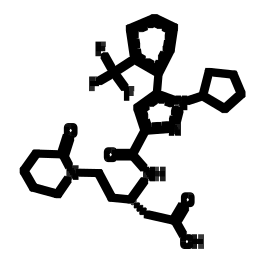 O=C(O)C[C@H](CCN1CCCCC1=O)NC(=O)c1cc(-c2ccccc2C(F)(F)F)n(C2CCCC2)n1